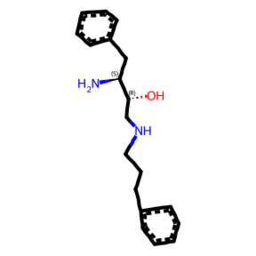 N[C@@H](Cc1ccccc1)[C@H](O)CNCCCc1ccccc1